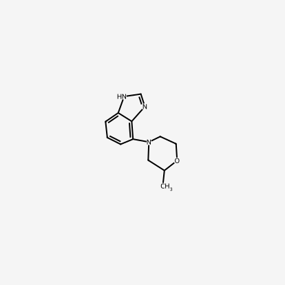 CC1CN(c2cccc3[nH]cnc23)CCO1